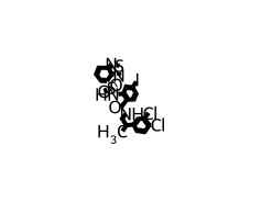 CC(CNC(=O)c1ccc(I)cc1NS(=O)(=O)c1cccc2nsnc12)c1ccc(Cl)c(Cl)c1